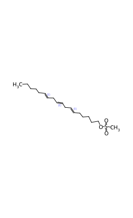 CCCCC/C=C/C/C=C/C/C=C/CCCCCOS(C)(=O)=O